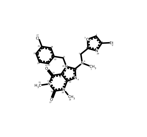 CCc1coc(CN(C)c2nc3c(c(=O)n(C)c(=O)n3C)n2Cc2cccc(Cl)c2)n1